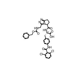 O=C(NCc1nnc2n1C(C(=O)N[C@@H](Cc1ccc(NC(=O)c3c(Cl)cccc3Cl)cc1)C(=O)O)CC2)OCc1ccccc1